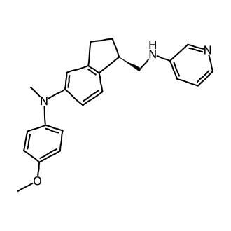 COc1ccc(N(C)c2ccc3c(c2)CC[C@H]3CNc2cccnc2)cc1